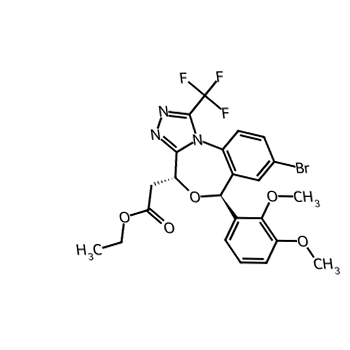 CCOC(=O)C[C@H]1O[C@H](c2cccc(OC)c2OC)c2cc(Br)ccc2-n2c1nnc2C(F)(F)F